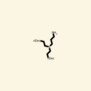 CCCCCCCCCCCCN(CCCN)CCCCCCCCCCCC